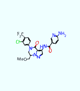 COC[C@H]1CN(c2ccc(C(F)(F)F)c(Cl)c2)C(=O)c2c(NC(=O)c3ccc(N)nc3)cnn21